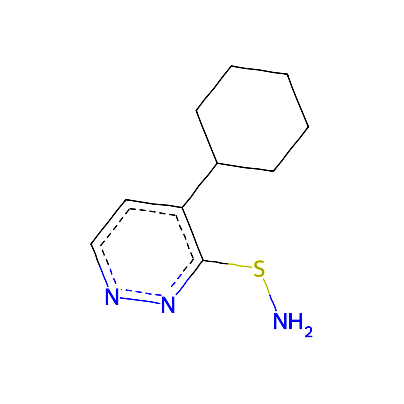 NSc1nnccc1C1CCCCC1